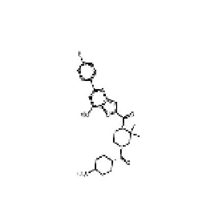 CC(C)(C)c1cc(-c2ccc(F)cc2)nn2cc(C(=O)N3CCN(C(=O)[C@H]4CC[C@H](C(=O)O)CC4)CC3(C)C)nc12